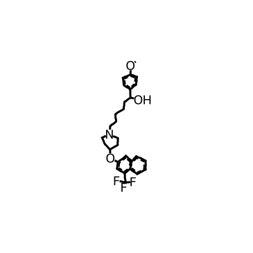 COc1ccc(C(O)CCCCCN2CCC(Oc3cc(C(F)(F)F)c4ccccc4c3)CC2)cc1